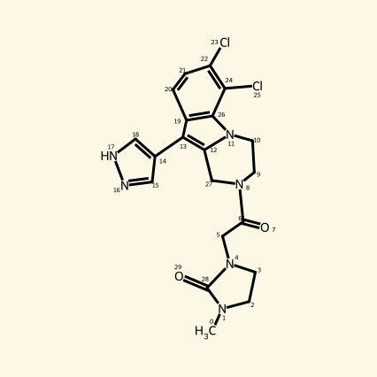 CN1CCN(CC(=O)N2CCn3c(c(-c4cn[nH]c4)c4ccc(Cl)c(Cl)c43)C2)C1=O